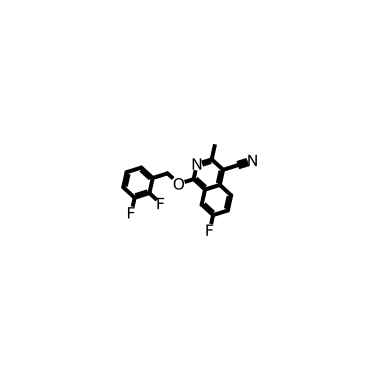 Cc1nc(OCc2cccc(F)c2F)c2cc(F)ccc2c1C#N